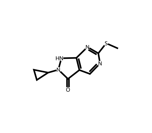 CSc1ncc2c(=O)n(C3CC3)[nH]c2n1